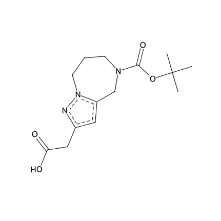 CC(C)(C)OC(=O)N1CCCn2nc(CC(=O)O)cc2C1